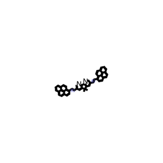 CC1(C)c2cc(/C=C/c3ccc4ccc5cccc6ccc3c4c56)cnc2-c2ncc(/C=C/c3ccc4ccc5cccc6ccc3c4c56)cc21